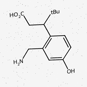 CC(C)(C)C(CC(=O)O)c1ccc(O)cc1CN